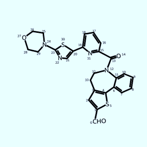 O=Cc1cc2c(s1)-c1ccccc1N(C(=O)c1cccc(-c3cnc(N4CCOCC4)s3)n1)CC2